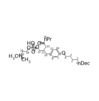 CCCCCCCCCCCCCCOc1ccc(CC(COP(=O)(O)OCCN(C)C)CC(=O)CCC)cc1